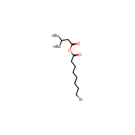 CCCCC(CCCC)CC(=O)OC(=O)CCCCCCCBr